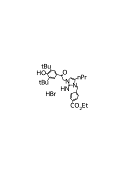 Br.CCCc1cn(CC(=O)c2cc(C(C)(C)C)c(O)c(C(C)(C)C)c2)c(=N)n1Cc1ccc(C(=O)OCC)cc1